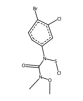 CON(C)C(=O)N(SCl)c1ccc(Br)c(Cl)c1